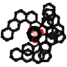 c1ccc(C(c2ccccc2)(c2ccccc2)c2ccc3ccc4cc5ccccc5cc4c3c2OB(Oc2c(C(c3ccccc3)(c3ccccc3)c3ccccc3)ccc3ccc4cc5ccccc5cc4c23)Oc2c(C(c3ccccc3)(c3ccccc3)c3ccccc3)ccc3ccc4cc5ccccc5cc4c23)cc1